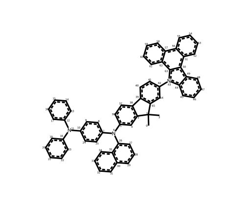 CC1(C)c2cc(N(c3ccc(N(c4ccccc4)c4ccccc4)cc3)c3cccc4ccccc34)ccc2-c2ccc(-n3c4ccccc4c4c5ccccc5c5ccccc5c43)cc21